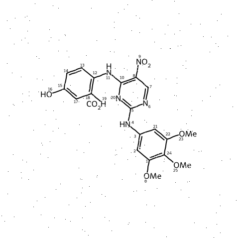 COc1cc(Nc2ncc([N+](=O)[O-])c(Nc3ccc(O)cc3C(=O)O)n2)cc(OC)c1OC